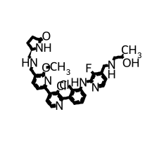 COc1nc(-c2ccnc(-c3cccc(Nc4nccc(CNC[C@@H](C)O)c4F)c3Cl)c2Cl)ccc1CNC[C@H]1CCC(=O)N1